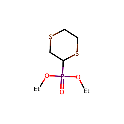 CCOP(=O)(OCC)C1CSCCS1